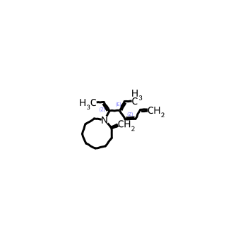 C=C\C=C/C(=C\C)C(=C/C)/N1CCCCCCCC1=C